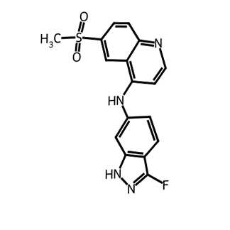 CS(=O)(=O)c1ccc2nccc(Nc3ccc4c(F)n[nH]c4c3)c2c1